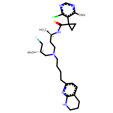 COc1ncnc(Cl)c1C1(C(=O)N[C@@H](CCN(CCCCc2ccc3c(n2)NCCC3)C[C@@H](CF)OC)C(=O)O)CC1